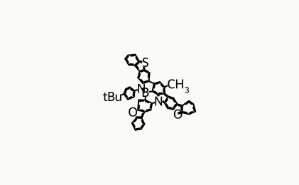 Cc1cc2c3c4c1c1cc5c(cc1n4-c1cc4c(cc1B3N(c1ccc(C(C)(C)C)cc1)c1cc3c(cc1-2)sc1ccccc13)oc1ccccc14)oc1ccccc15